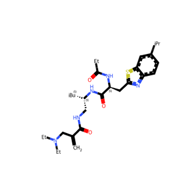 C=C(CN(CC)CC)C(=O)NC[C@@H](NC(=O)[C@H](Cc1nc2ccc(C(C)C)cc2s1)NC(=O)CC)[C@@H](C)CC